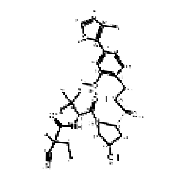 CCC(C)(C#N)C(=O)N[C@H](C(=O)N1C[C@H](O)C[C@H]1C(=O)NCc1ccc(-c2scnc2C)cc1OC)C(C)(C)C